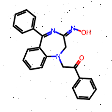 O=C(CN1CC(=NO)N=C(c2ccccc2)c2ccccc21)c1ccccc1